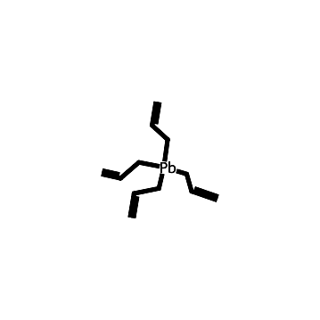 C=C[CH2][Pb]([CH2]C=C)([CH2]C=C)[CH2]C=C